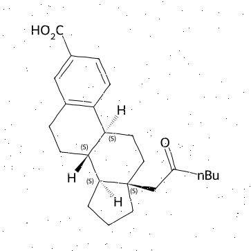 CCCCC(=O)C[C@@]12CCC[C@H]1[C@@H]1CCc3cc(C(=O)O)ccc3[C@H]1CC2